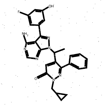 CC(c1cc(=O)n(CC2CC2)nc1-c1ccccc1)n1nc(-c2cc(O)cc(F)c2)c2c(N)ncnc21